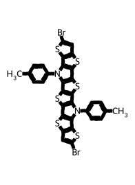 Cc1ccc(-n2c3c4sc(Br)cc4sc3c3sc4c(sc5c6sc7cc(Br)sc7c6n(-c6ccc(C)cc6)c54)c32)cc1